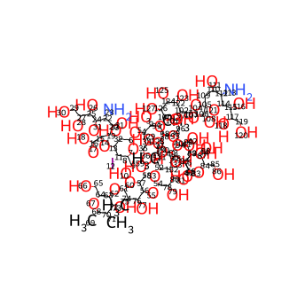 CC1C(O)[C@H](O[C@@H]2OC(CO)[C@H](I)C(O[C@]3(C(=O)O)C[C@@H](O)[C@@H](N)C(C(O)C(O)CO)O3)C2O)[C@H](CO)O[C@H]1O[C@@H]1C(O)[C@H](O)C(CO)O[C@@H]1OCC1O[C@@H](O[C@@H]2C(CO)O[C@@H](O[C@@H]3C(CO)O[C@@H](C)[C@@H](C)C3O)[C@@H](C)C2O)[C@H](O)C(O[C@H]2O[C@H](CO)[C@@H](O)C(O)C2O[C@@H]2OC(CO)[C@@H](O[C@@H]3OC(CO[C@]4(C(=O)O)C[C@@H](O)[C@@H](N)C(C(O)C(O)CO)O4)[C@H](O)C(O)[C@@H]3O)C(O)[C@@H]2C)[C@@H]1O